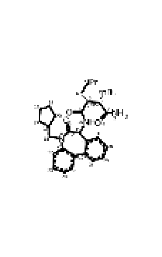 CCCC[C@H](C(N)=O)[C@@H](CC(C)C)C(=O)NC1C(=O)N(CC2CCCC2)c2ccccc2-c2ccccc21